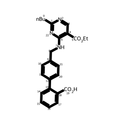 CCCCc1ncc(C(=O)OCC)c(NCc2ccc(-c3ccccc3C(=O)O)cc2)n1